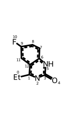 CCc1nc(=O)[nH]c2ccc(F)cc12